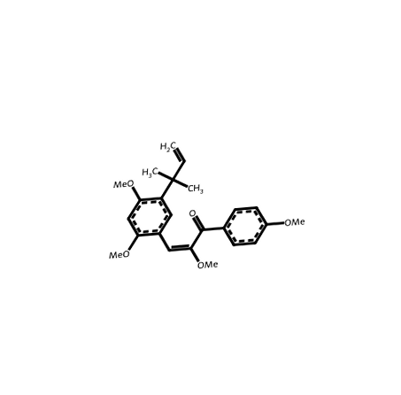 C=CC(C)(C)c1cc(C=C(OC)C(=O)c2ccc(OC)cc2)c(OC)cc1OC